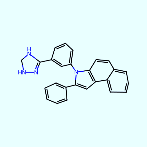 c1ccc(-c2cc3c4ccccc4ccc3n2-c2cccc(C3=NNCN3)c2)cc1